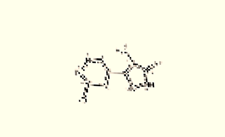 Cn1c(-c2cn[nH]c(=O)c2)n[nH]c1=S